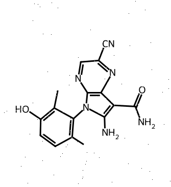 Cc1ccc(O)c(C)c1-n1c(N)c(C(N)=O)c2nc(C#N)cnc21